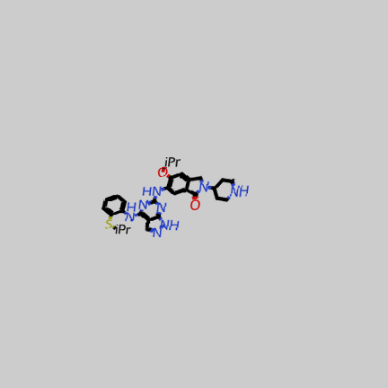 CC(C)Oc1cc2c(cc1Nc1nc(Nc3ccccc3SC(C)C)c3cn[nH]c3n1)C(=O)N(C1CCNCC1)C2